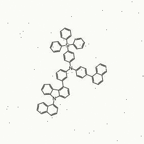 c1ccc([Si](c2ccccc2)(c2ccccc2)c2ccc(N(c3ccc(-c4cccc5ccccc45)cc3)c3cccc(-c4cccc5c4c4ccccc4n5-c4cccc5ccccc45)c3)cc2)cc1